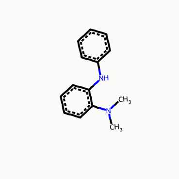 CN(C)c1ccccc1Nc1ccccc1